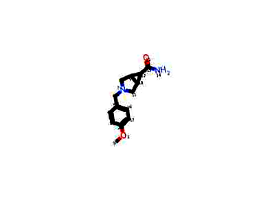 COc1ccc(CN2CC3C(C2)C3C(N)=O)cc1